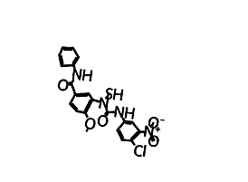 COc1ccc(C(=O)Nc2ccccc2)cc1N(S)C(=O)Nc1ccc(Cl)c([N+](=O)[O-])c1